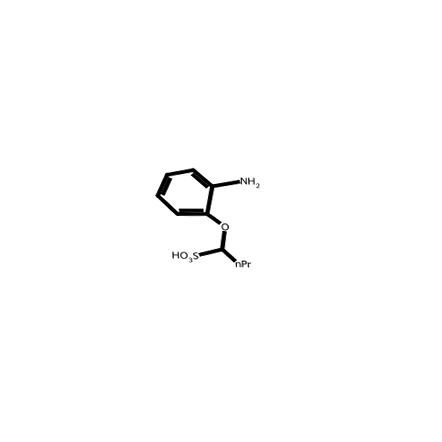 CCCC(Oc1ccccc1N)S(=O)(=O)O